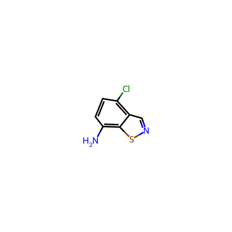 Nc1ccc(Cl)c2cnsc12